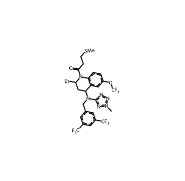 CCC1CC(N(Cc2cc(C(F)(F)F)cc(C(F)(F)F)c2)c2nnn(C)n2)c2cc(OC(F)(F)F)ccc2N1C(=O)CCSC